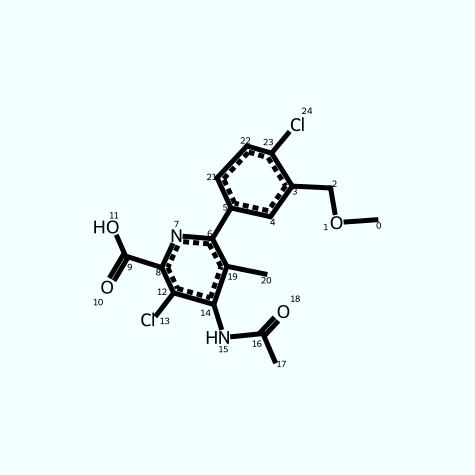 COCc1cc(-c2nc(C(=O)O)c(Cl)c(NC(C)=O)c2C)ccc1Cl